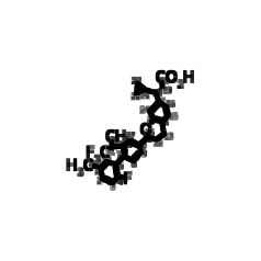 Cc1ccc(F)c(-c2ccc(C3CCc4ccc([C@@H](CC(=O)O)C5CC5)cc4O3)cc2C(C)C(F)(F)F)c1